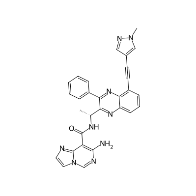 C[C@@H](NC(=O)c1c(N)ncn2ccnc12)c1nc2cccc(C#Cc3cnn(C)c3)c2nc1-c1ccccc1